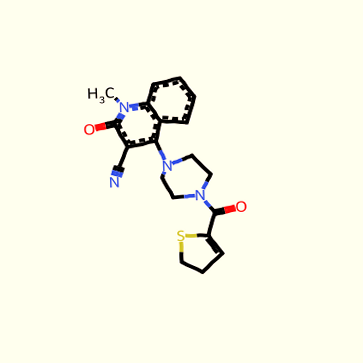 Cn1c(=O)c(C#N)c(N2CCN(C(=O)C3=CCCS3)CC2)c2ccccc21